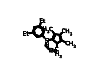 CCc1cc(CC)cc([SiH](CC(C)CC)C2=C(C)C(C)=C(C)C2C)c1